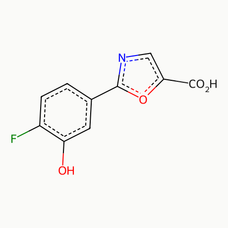 O=C(O)c1cnc(-c2ccc(F)c(O)c2)o1